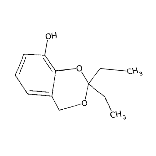 CCC1(CC)OCc2cccc(O)c2O1